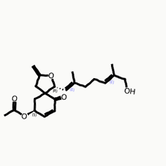 C=C1CC2(C[C@H](OC(C)=O)C=CC2=O)[C@@H](/C=C(\C)CC/C=C(\C)CO)O1